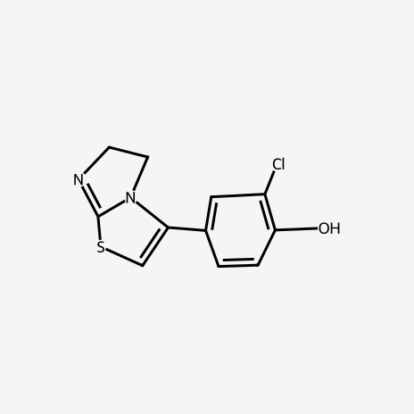 Oc1ccc(C2=CSC3=NCCN23)cc1Cl